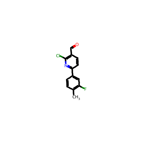 Cc1ccc(-c2ccc(C=O)c(Cl)n2)cc1F